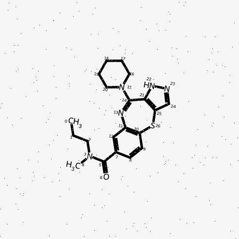 CCCN(C)C(=O)c1ccc2c(c1)N=C(N1CCCCC1)c1[nH]ncc1S2